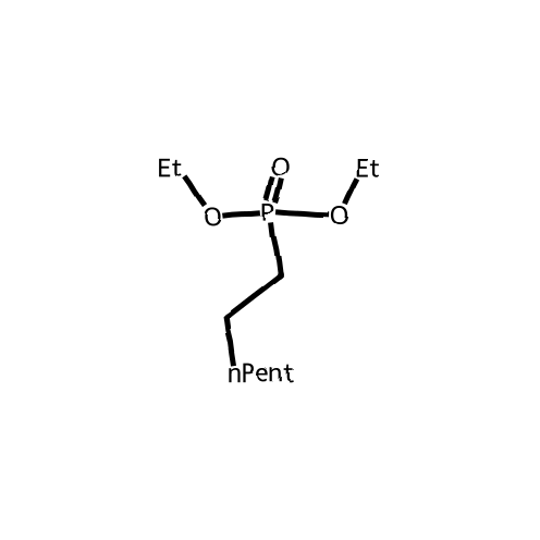 CCCCCCCP(=O)(OCC)OCC